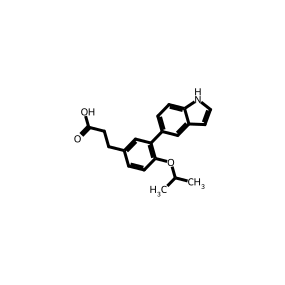 CC(C)Oc1ccc(CCC(=O)O)cc1-c1ccc2[nH]ccc2c1